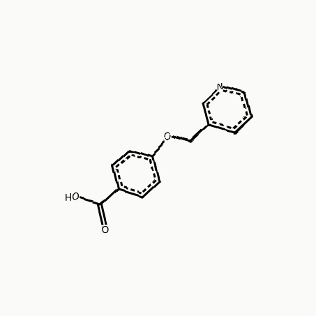 O=C(O)c1ccc(OCc2cccnc2)cc1